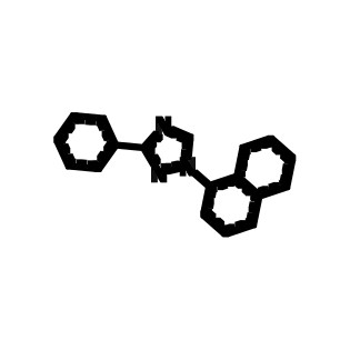 c1ccc(-c2ncn(-c3cccc4ccccc34)n2)cc1